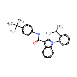 CC(C)c1ccccc1-n1cc(C(=O)Nc2ccc(C(C)(C)C)cc2)c2ccccc21